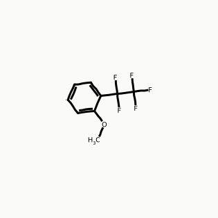 COc1c[c]ccc1C(F)(F)C(F)(F)F